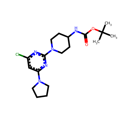 CC(C)(C)OC(=O)NC1CCN(c2nc(Cl)cc(N3CCCC3)n2)CC1